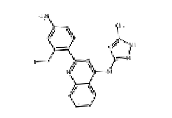 Cc1nc(Nc2nc(-c3ccc([N+](=O)[O-])cc3CI)nc3ccccc23)n[nH]1